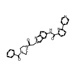 O=C(Nc1ccc2nn(CC(=O)N3CCN(C(=O)c4ccccc4)CC3)cc2c1)c1cccc(-c2ccncc2)n1